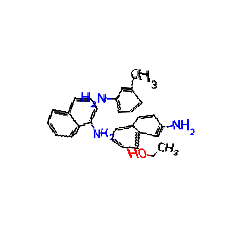 CCO.Cc1cccc(N)c1.Nc1ccc2ccccc2c1.Nc1cccc2ccccc12